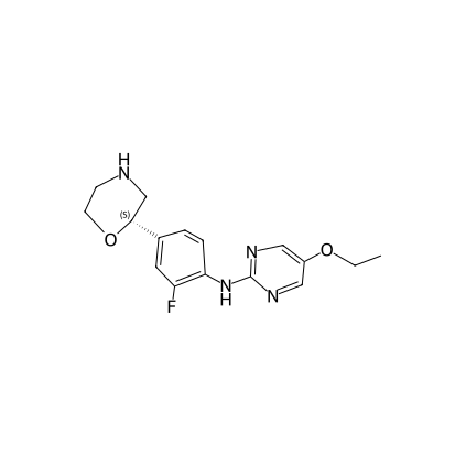 CCOc1cnc(Nc2ccc([C@H]3CNCCO3)cc2F)nc1